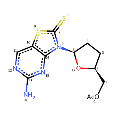 CC(=O)OC[C@@H]1CC[C@H](n2c(=S)sc3cnc(N)nc32)O1